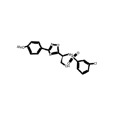 COc1ccc(-c2noc([C@H](CO)NS(=O)(=O)c3cccc(Cl)c3)n2)cc1